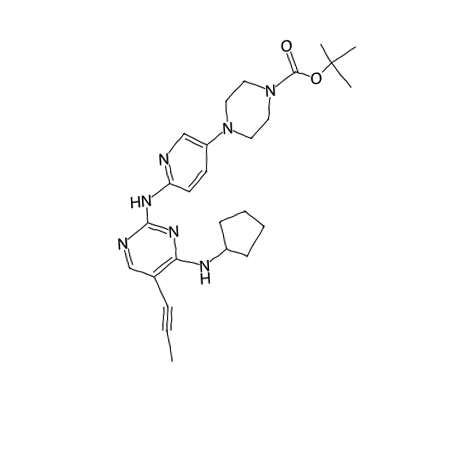 CC#Cc1cnc(Nc2ccc(N3CCN(C(=O)OC(C)(C)C)CC3)cn2)nc1NC1CCCC1